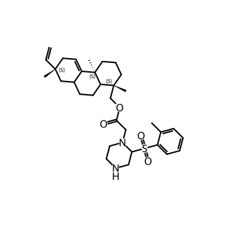 C=C[C@]1(C)CC=C2C(CCC3[C@@](C)(COC(=O)CN4CCNCC4S(=O)(=O)c4ccccc4C)CCC[C@]23C)C1